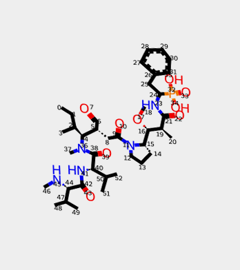 CCC(C)[C@@H]([C@H](C=O)CC(=O)N1CCC[C@H]1[C@H](OC)[C@H](C)C(=O)NC(Cc1ccccc1)P(=O)(O)O)N(C)C(=O)[C@@H](NC(=O)[C@@H](NC)C(C)C)C(C)C